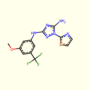 COc1cc(Nc2nc(N)n(-c3nccs3)n2)cc(C(F)(F)F)c1